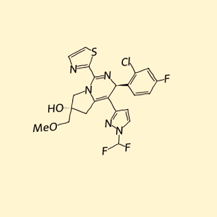 COC[C@]1(O)CC2=C(c3ccn(C(F)F)n3)[C@H](c3ccc(F)cc3Cl)N=C(c3nccs3)N2C1